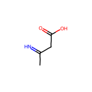 CC(=N)CC(=O)O